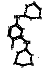 Clc1ccc(NC2CCCCC2)cc1NC1CCCCC1